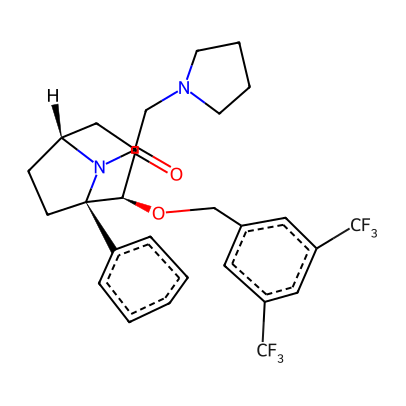 O=C(CN1CCCC1)N1[C@H]2CC[C@@H](OCc3cc(C(F)(F)F)cc(C(F)(F)F)c3)[C@]1(c1ccccc1)CC2